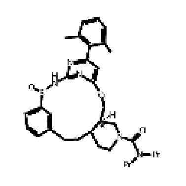 Cc1cccc(C)c1-c1cc2nc(n1)N[S+]([O-])c1cccc(c1)CCC1CCN(C(=O)N(C(C)C)C(C)C)C[C@@H]1CO2